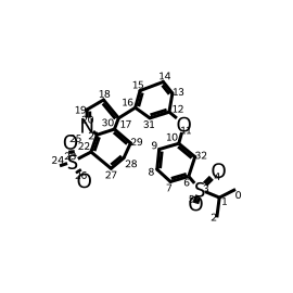 CC(C)S(=O)(=O)c1cccc(Oc2cccc(-c3ccnc4c(S(C)(=O)=O)cccc34)c2)c1